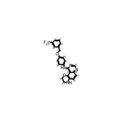 FC(F)(F)c1cccc(COc2ccc(Nc3ncnc4ccc5c(c34)OCCN5)cc2)c1